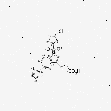 O=C(O)CCc1cn(S(=O)(=O)c2ccc(Cl)s2)c2ccc(-c3ccsc3)cc12